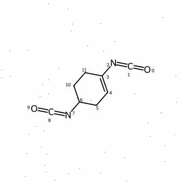 O=C=NC1=CCC(N=C=O)CC1